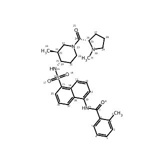 Cc1ccccc1C(=O)Nc1cccc2c(S(=O)(=O)N[C@H]3CCN(C(=O)[C@@H]4CCCN4C)C[C@@H]3C)cccc12